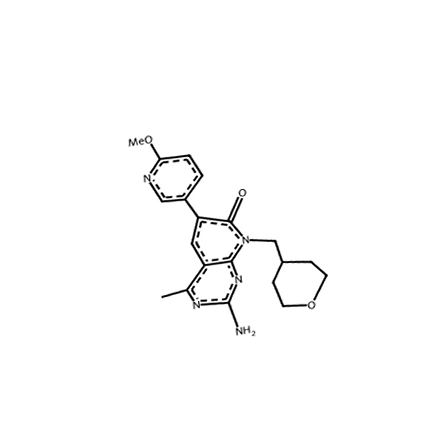 COc1ccc(-c2cc3c(C)nc(N)nc3n(CC3CCOCC3)c2=O)cn1